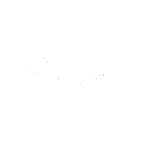 CNc1cc2c(cn1)C[C@]1(C2)C(=O)Nc2ncccc21